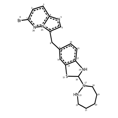 Brc1ccc2ncc(Cc3ccc4c(c3)SC(N3CCCCCN3)N4)n2n1